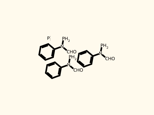 O=CN(P)c1ccccc1.O=CN(P)c1ccccc1.O=CN(P)c1ccccc1.[P]